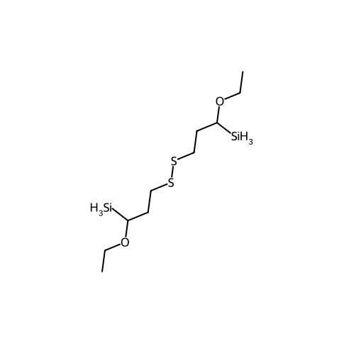 CCOC([SiH3])CCSSCCC([SiH3])OCC